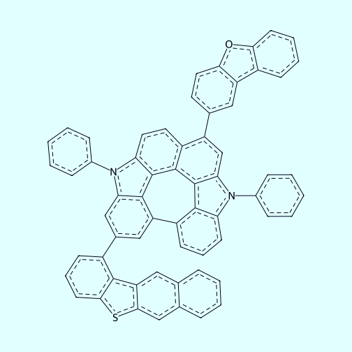 c1ccc(-n2c3cc(-c4cccc5sc6cc7ccccc7cc6c45)cc4c3c3c5c(ccc32)c(-c2ccc3oc6ccccc6c3c2)cc2c5c3c-4cccc3n2-c2ccccc2)cc1